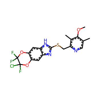 COc1c(C)cnc(CSc2nc3cc4c(cc3[nH]2)OC(F)(F)C(F)(Cl)O4)c1C